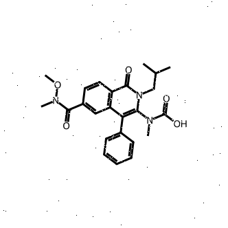 CON(C)C(=O)c1ccc2c(=O)n(CC(C)C)c(N(C)C(=O)O)c(-c3ccccc3)c2c1